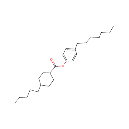 CCCCCCCc1ccc(OC(=O)C2CCC(CCCCC)CC2)cc1